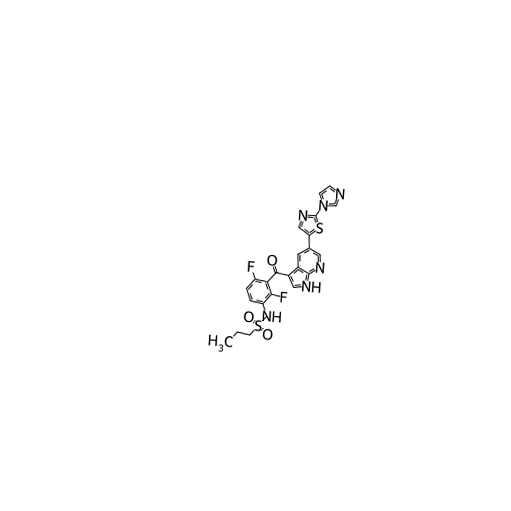 CCCS(=O)(=O)Nc1ccc(F)c(C(=O)c2c[nH]c3ncc(-c4cnc(-n5ccnc5)s4)cc23)c1F